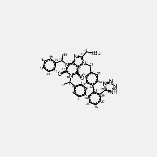 CC(c1ccccc1)n1c(=O)c2c(nc(CC(C)(C)C)n2Cc2ccc(-c3ccccc3-c3nnn[nH]3)cc2)n(C(C)c2ccccc2)c1=O